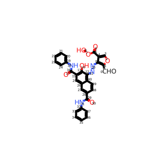 O=Cc1occ(C(=O)OO)c1/N=N/c1c(O)c(C(=O)Nc2ccccc2)cc2cc(C(=O)Nc3ccccc3)ccc12